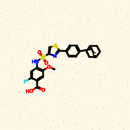 COc1cc(C(=O)O)c(F)cc1NS(=O)(=O)c1csc(-c2ccc(C3CC4CCC3CC4)cc2)n1